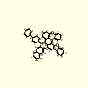 c1ccc(-c2ccc(N3B4c5cccc6c5N(c5ccccc5O6)c5c4c(cc4c5oc5ccccc54)-c4cc5ccccc5cc43)cc2)cc1